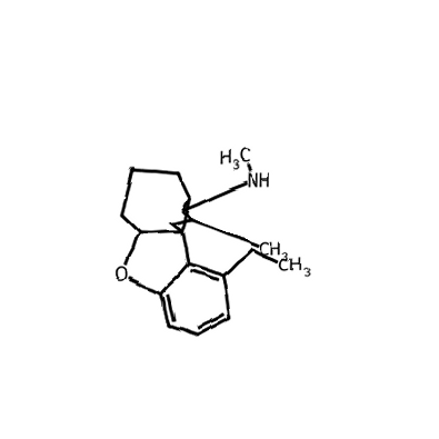 CCc1cccc2c1C13CC(C)C(NC)C1CCCC3O2